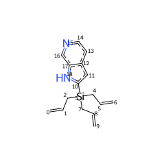 C=CC[Si](CC=C)(CC=C)c1cc2ccncc2[nH]1